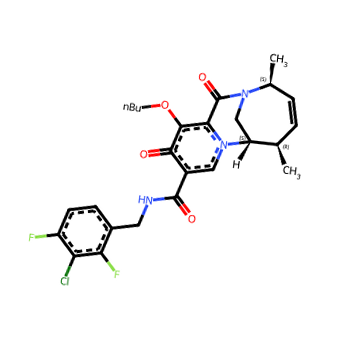 CCCCOc1c2n(cc(C(=O)NCc3ccc(F)c(Cl)c3F)c1=O)[C@@H]1CN(C2=O)[C@@H](C)C=C[C@H]1C